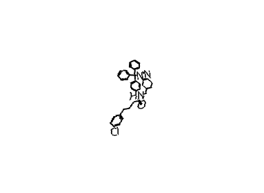 O=C(CCCc1ccc(Cl)cc1)NCC1CCc2ncn(C(c3ccccc3)(c3ccccc3)c3ccccc3)c2C1